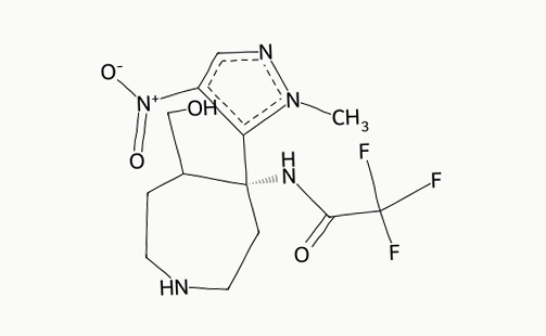 Cn1ncc([N+](=O)[O-])c1[C@@]1(NC(=O)C(F)(F)F)CCNCCC1CO